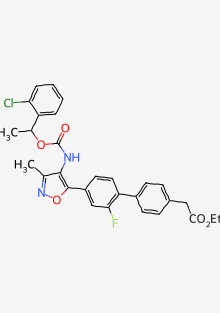 CCOC(=O)Cc1ccc(-c2ccc(-c3onc(C)c3NC(=O)OC(C)c3ccccc3Cl)cc2F)cc1